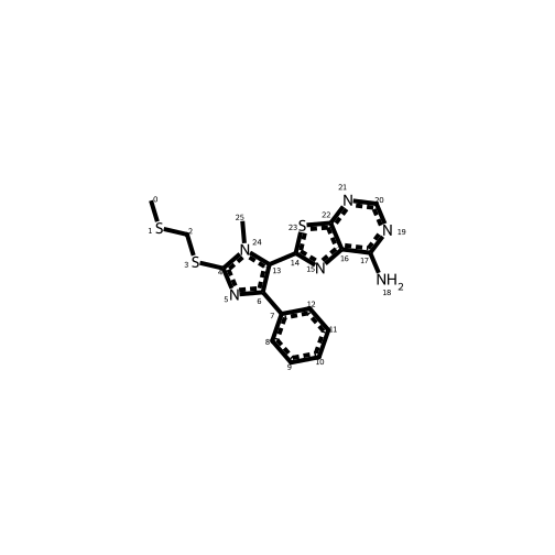 CSCSc1nc(-c2ccccc2)c(-c2nc3c(N)ncnc3s2)n1C